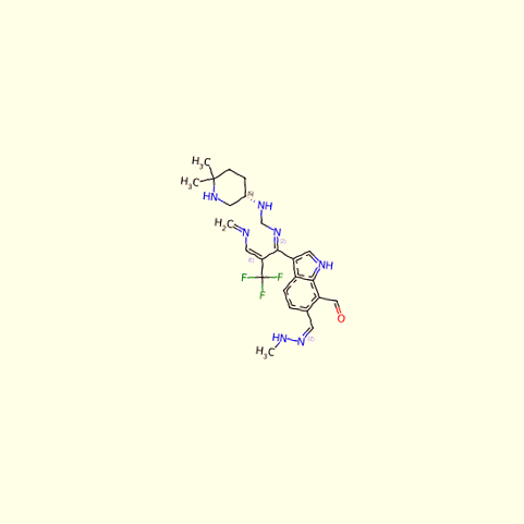 C=N/C=C(\C(=N/CN[C@H]1CCC(C)(C)NC1)c1c[nH]c2c(C=O)c(/C=N\NC)ccc12)C(F)(F)F